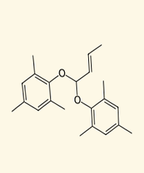 CC=CC(Oc1c(C)cc(C)cc1C)Oc1c(C)cc(C)cc1C